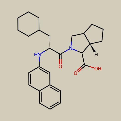 O=C(O)C1[C@H]2CCCC2CN1C(=O)[C@@H](CC1CCCCC1)Nc1ccc2ccccc2c1